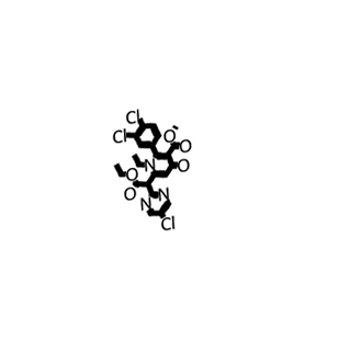 CCOC(=O)C(c1ncc(Cl)cn1)c1cc(=O)c(C(=O)OC)c(-c2ccc(Cl)c(Cl)c2)n1CC